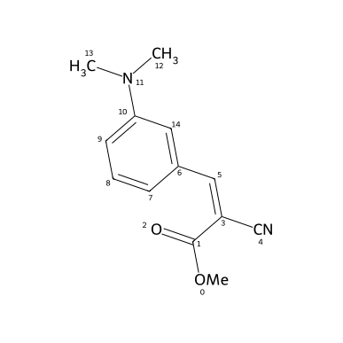 COC(=O)C(C#N)=Cc1cccc(N(C)C)c1